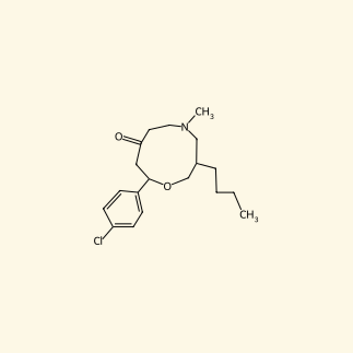 CCCCC1COC(c2ccc(Cl)cc2)CC(=O)CCN(C)C1